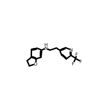 FC(F)(F)c1ccc(CCNc2ccc3c(c2)OCC3)cn1